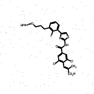 CCCCCCOCCCc1cccc(-c2csc(NC(=O)c3cc(Cl)c(C=C(C)C(=O)O)c(Cl)c3)n2)c1F